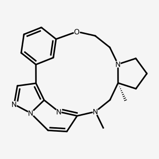 CN1C[C@]2(C)CCCN2CCOc2cccc(c2)-c2cnn3ccc1nc23